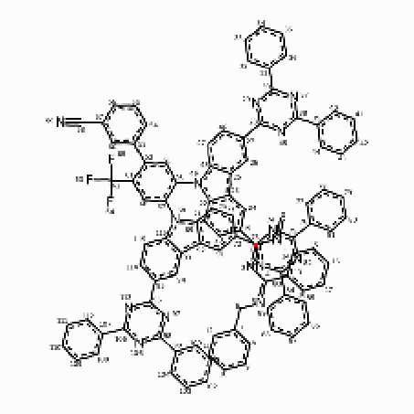 C=N/C(=N\C(=N/Cc1ccccc1)c1ccccc1)c1ccc2c(c1)c1cc(-c3nc(-c4ccccc4)nc(-c4ccccc4)n3)ccc1n2-c1cc(-c2cccc(C#N)c2)c(C(F)(F)F)cc1-n1c2ccc(-c3nc(-c4ccccc4)nc(-c4ccccc4)n3)cc2c2cc(-c3nc(-c4ccccc4)nc(-c4ccccc4)n3)ccc21